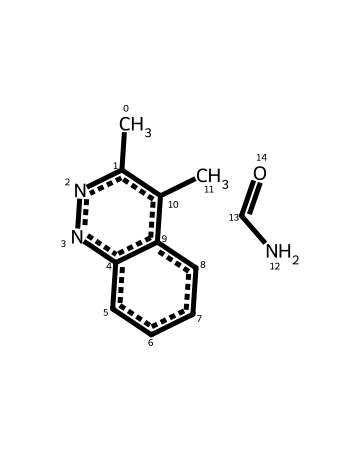 Cc1nnc2ccccc2c1C.NC=O